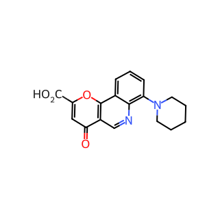 O=C(O)c1cc(=O)c2cnc3c(N4CCCCC4)cccc3c2o1